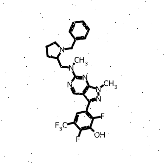 CN(CC1CCCN1Cc1ccccc1)c1ncc2c(-c3cc(C(F)(F)F)c(F)c(O)c3F)nn(C)c2n1